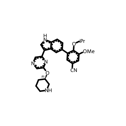 COc1cc(C#N)cc(-c2ccc3[nH]cc(-c4cncc(O[C@@H]5CCCNC5)n4)c3c2)c1OC(C)C